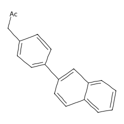 CC(=O)Cc1ccc(-c2ccc3ccccc3c2)cc1